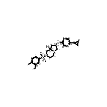 Cc1ccc(S(=O)(=O)N2CCN3C[C@H](Oc4cnc(C5CC5)cn4)C[C@H]3C2)cc1C